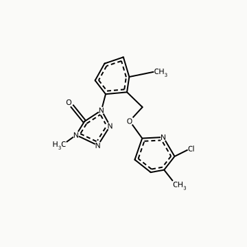 Cc1ccc(OCc2c(C)cccc2-n2nnn(C)c2=O)nc1Cl